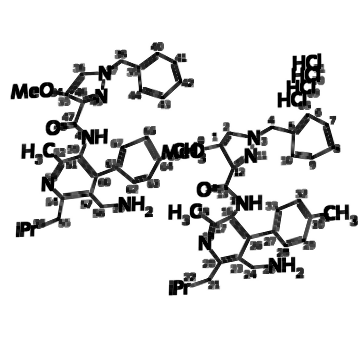 COc1cn(Cc2ccccc2)nc1C(=O)Nc1c(C)nc(CC(C)C)c(CN)c1-c1ccc(C)cc1.COc1cn(Cc2ccccc2)nc1C(=O)Nc1c(C)nc(CC(C)C)c(CN)c1-c1ccc(C)cc1.Cl.Cl.Cl.Cl